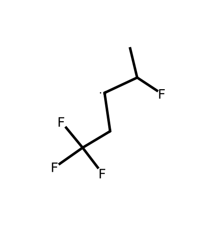 CC(F)[CH]CC(F)(F)F